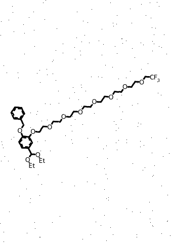 CCOC(OCC)c1ccc(OCc2ccccc2)c(OCCOCCOCCOCCOCCOCCOCCOCC(F)(F)F)c1